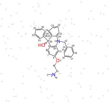 CN(C)CCOc1ccc2c(c1)N(Cc1ccccc1)c1ccccc1C2(O)c1ccccc1